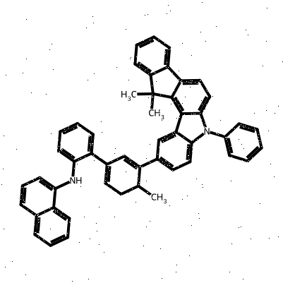 CC1CC=C(c2ccccc2Nc2cccc3ccccc23)C=C1c1ccc2c(c1)c1c3c(ccc1n2-c1ccccc1)-c1ccccc1C3(C)C